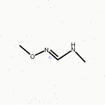 CN/C=N/OC